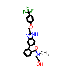 CN(CCO)C(=O)c1ccccc1-c1ccc2[nH]c(COc3ccc(C(F)(F)F)cc3)nc2c1